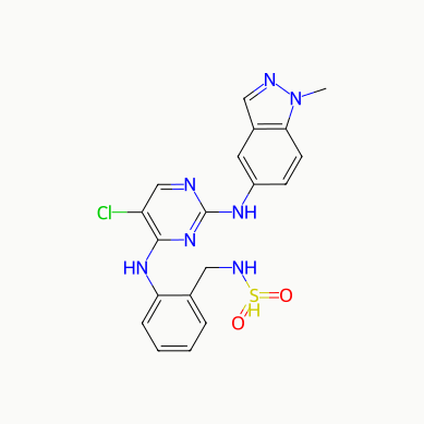 Cn1ncc2cc(Nc3ncc(Cl)c(Nc4ccccc4CN[SH](=O)=O)n3)ccc21